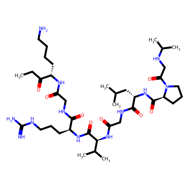 CCC(=O)[C@H](CCCCN)NC(=O)CNC(=O)[C@H](CCCNC(=N)N)NC(=O)[C@@H](NC(=O)CNC(=O)[C@H](CC(C)C)NC(=O)[C@@H]1CCCN1C(=O)CNC(C)C)C(C)C